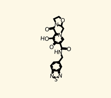 O=C(NCc1ccc2nsnc2c1)c1cn2c(c(O)c1=O)C(=O)N1CCOC1C2